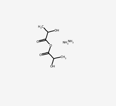 CC(O)C(=O)OC(=O)C(C)O.N.N